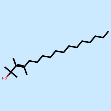 CCCCCCCCCCCCC/C(C)=C(\C)C(C)(C)O